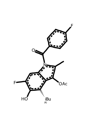 CC[C@@H](C)c1c(O)c(F)cc2c1c(OC(C)=O)c(C)n2C(=O)c1ccc(F)cc1